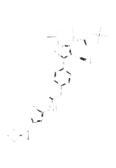 CC(C)n1nc(-c2ccc(CC(=O)Nc3cc(C4CC45CCC5)on3)cc2)c(C#N)c1NC(=O)OC(C)(C)C